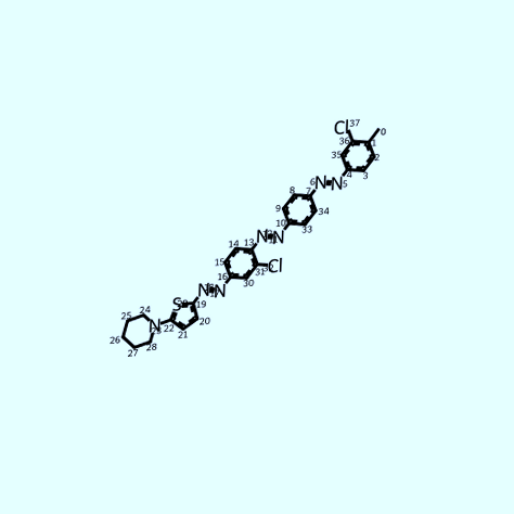 Cc1ccc(N=Nc2ccc(N=Nc3ccc(N=Nc4ccc(N5CCCCC5)s4)cc3Cl)cc2)cc1Cl